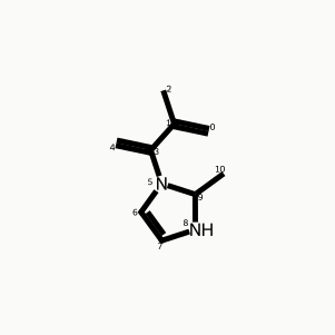 C=C(C)C(=C)N1C=CNC1C